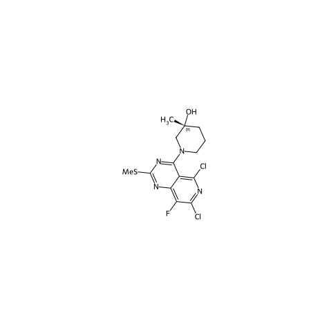 CSc1nc(N2CCC[C@@](C)(O)C2)c2c(Cl)nc(Cl)c(F)c2n1